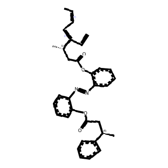 C=C/C(=C\C=C/C)[C@@H](C)CC(=O)Oc1ccccc1N=Nc1ccccc1OC(=O)C[C@@H](C)c1ccccc1